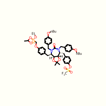 CCCCOc1ccc(CN2C(=O)N(Cc3ccc(OCCCC)cc3)[C@H](Cc3ccc(OS(=O)(=O)C(F)(F)F)cc3)[C@@H]3OC(C)(C)O[C@H]3[C@H]2Cc2ccc(OC[PH]3(OCC)OC(C)O3)cc2)cc1